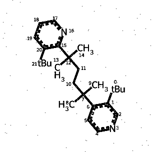 CC(C)(C)c1cnccc1C(C)(C)CCC(C)(C)c1ncccc1C(C)(C)C